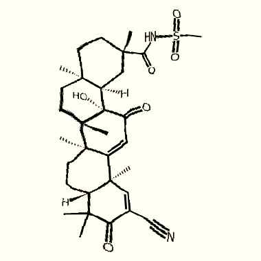 CC1(C)C(=O)C(C#N)=C[C@]2(C)C3=CC(=O)[C@]4(O)[C@@H]5C[C@@](C)(C(=O)NS(C)(=O)=O)CC[C@]5(C)CC[C@@]4(C)[C@]3(C)CC[C@@H]12